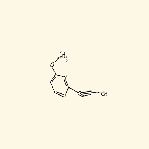 CC#Cc1cccc(OC)n1